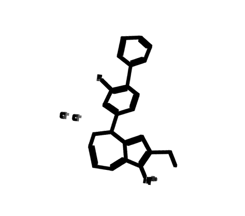 CCC1=[C]([Hf+2])C2=CC=CCC(c3ccc(-c4ccccc4)c(F)c3)C2=C1.[Cl-].[Cl-]